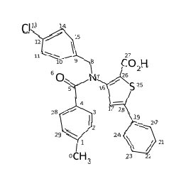 Cc1ccc(C(=O)N(Cc2ccc(Cl)cc2)c2cc(-c3ccccc3)sc2C(=O)O)cc1